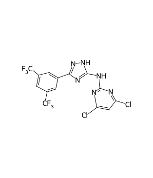 FC(F)(F)c1cc(-c2n[nH]c(Nc3nc(Cl)cc(Cl)n3)n2)cc(C(F)(F)F)c1